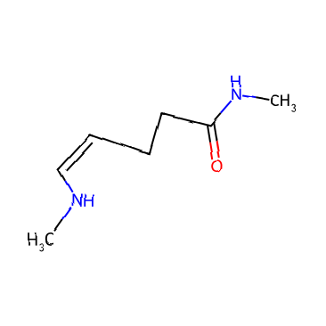 CN/C=C\CCC(=O)NC